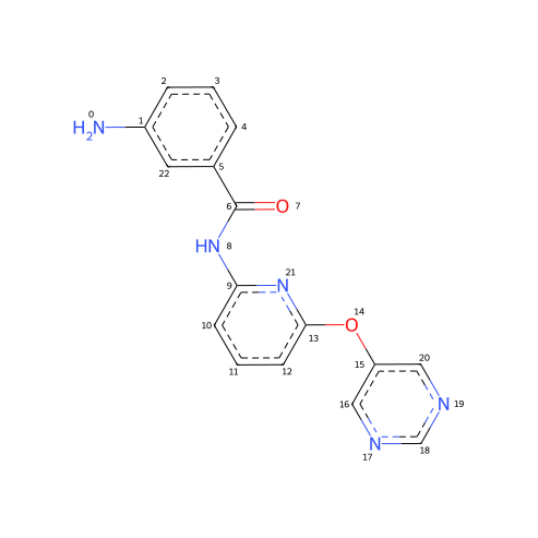 Nc1cccc(C(=O)Nc2cccc(Oc3cncnc3)n2)c1